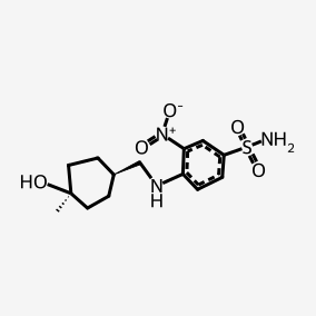 C[C@]1(O)CC[C@@H](CNc2ccc(S(N)(=O)=O)cc2[N+](=O)[O-])CC1